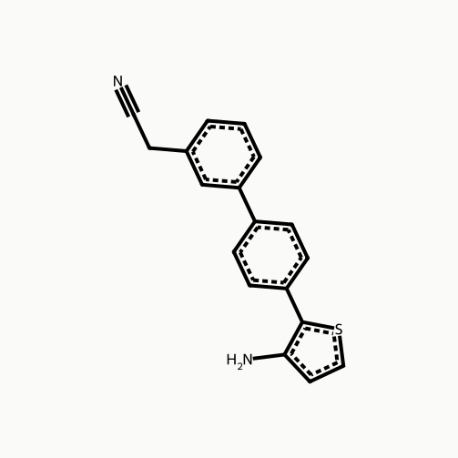 N#CCc1cccc(-c2ccc(-c3sccc3N)cc2)c1